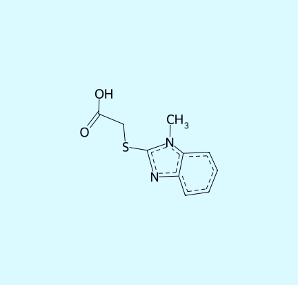 Cn1c(SCC(=O)O)nc2ccccc21